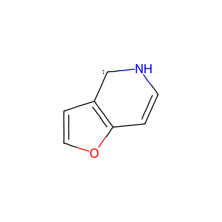 [C]1NC=Cc2occc21